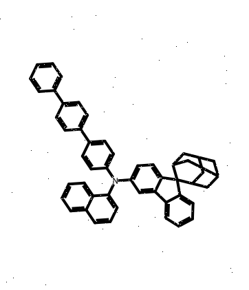 c1ccc(-c2ccc(-c3ccc(N(c4ccc5c(c4)-c4ccccc4C54C5CC6CC(C5)CC4C6)c4cccc5ccccc45)cc3)cc2)cc1